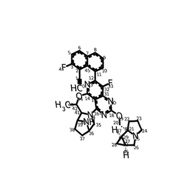 C#Cc1c(F)ccc2cccc(-c3nc4c5c(nc(OC[C@]67CCCN6C[C@H]6C[C@H]67)nc5c3F)N3CC5CCC(N5)C3C(C)O4)c12